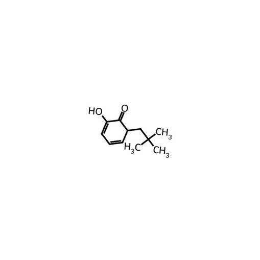 CC(C)(C)CC1C=CC=C(O)C1=O